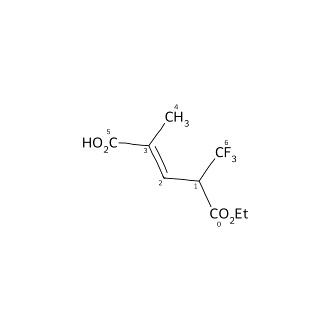 CCOC(=O)C(C=C(C)C(=O)O)C(F)(F)F